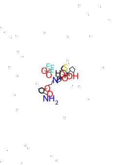 NC(=O)c1ccccc1OCCC[N+]12CCC(CC1)[C@@H](OC(=O)[C@](O)(c1cccs1)C1CCCC1)C2.O=C([O-])C(F)(F)F